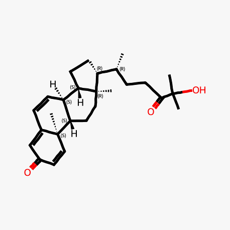 C[C@H](CCC(=O)C(C)(C)O)[C@H]1CC[C@H]2[C@@H]3C=CC4=CC(=O)C=C[C@]4(C)[C@H]3CC[C@]12C